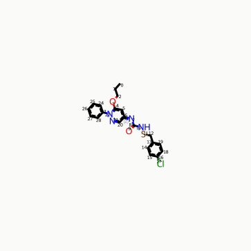 CCCOc1c/c(=N/C(=O)NSCc2ccc(Cl)cc2)cnn1-c1ccccc1